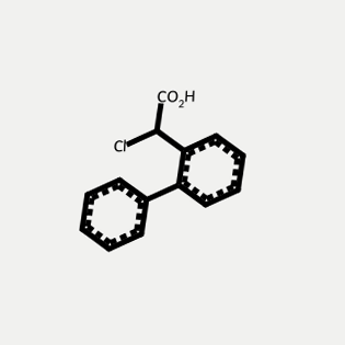 O=C(O)C(Cl)c1ccccc1-c1ccccc1